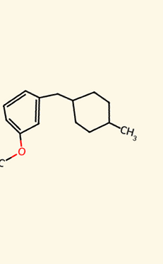 COc1cccc(CC2CCC(C)CC2)c1